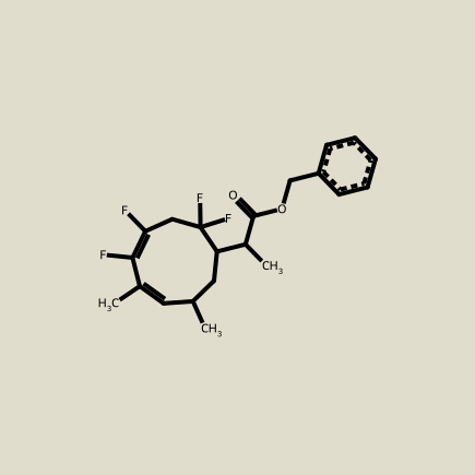 CC1=C/C(C)CC(C(C)C(=O)OCc2ccccc2)C(F)(F)C/C(F)=C\1F